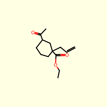 C=CCC1(C(=O)OCC)CCCC(C(C)=O)C1